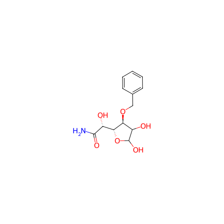 NC(=O)[C@H](O)[C@H]1OC(O)C(O)[C@@H]1OCc1ccccc1